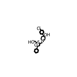 O=C(C=C(CN1CCC(O)(c2ccc(Cl)cc2)CC1)SCCO)c1ccccc1